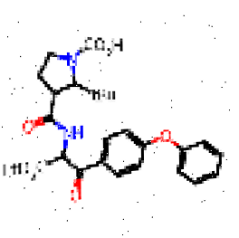 CCOC(=O)C(NC(=O)C1CCN(C(=O)O)C1C(C)(C)C)C(=O)c1ccc(Oc2ccccc2)cc1